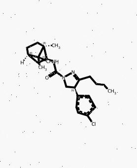 CCCCC1=NN(C(=O)N[C@H]2C[C@H]3CC[C@]2(C)C3(C)C)C[C@@H]1c1ccc(Cl)cc1